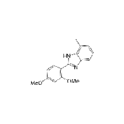 COc1ccc(-c2nc3cccc(C)c3[nH]2)c(OC)c1